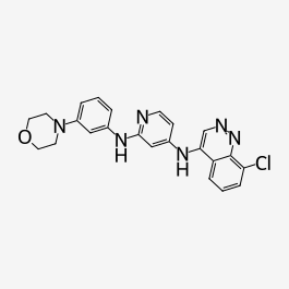 Clc1cccc2c(Nc3ccnc(Nc4cccc(N5CCOCC5)c4)c3)cnnc12